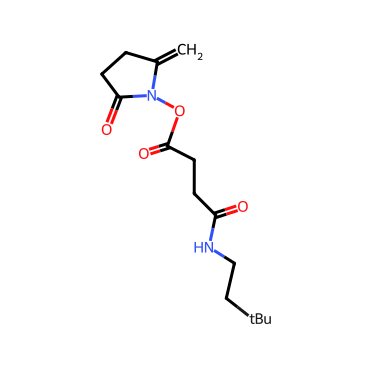 C=C1CCC(=O)N1OC(=O)CCC(=O)NCCC(C)(C)C